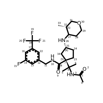 CC(=O)NC(C)(C)[C@]1(C(=O)NCc2cc(F)cc(C(F)(F)F)c2)CC[C@@H](NC2CCOC[C@H]2C)C1